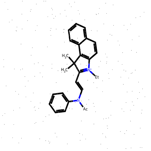 CC[N+]1=C(/C=C/N(C(C)=O)c2ccccc2)C(C)(C)c2c1ccc1ccccc21